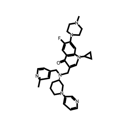 Cc1cc(CN(Cc2cn(C3CC3)c3cc(N4CCN(C)CC4)c(F)cc3c2=O)[C@H]2CCCN(c3cccnc3)C2)ccn1